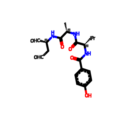 CC(C)[C@H](NC(=O)c1ccc(O)cc1)C(=O)N[C@@H](C)C(=O)N[C@H](C=O)CC=O